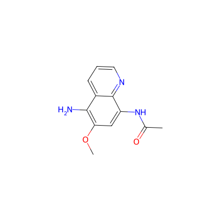 COc1cc(NC(C)=O)c2ncccc2c1N